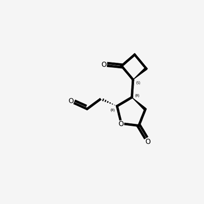 O=CC[C@H]1OC(=O)C[C@@H]1[C@@H]1CCC1=O